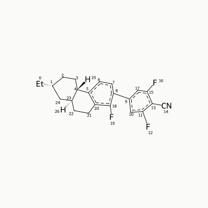 CC[C@@H]1CC[C@@H]2c3ccc(-c4cc(F)c(C#N)c(F)c4)c(F)c3CC[C@H]2C1